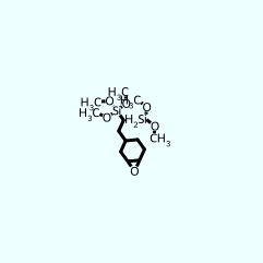 CO[SiH2]OC.CO[Si](CCC1CCC2OC2C1)(OC)OC